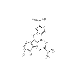 Cc1c(Sc2cccc(C(=O)O)c2)c2ccc(Cl)c(F)c2n1CC(=O)N(C)C